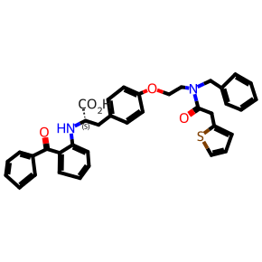 O=C(c1ccccc1)c1ccccc1N[C@@H](Cc1ccc(OCCN(Cc2ccccc2)C(=O)Cc2cccs2)cc1)C(=O)O